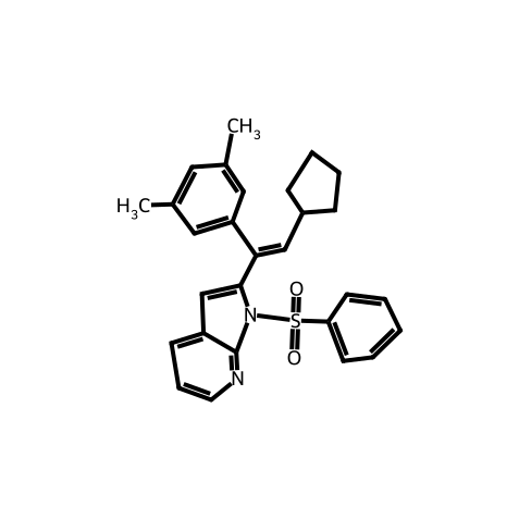 Cc1cc(C)cc(C(=CC2CCCC2)c2cc3cccnc3n2S(=O)(=O)c2ccccc2)c1